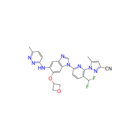 Cc1ccc(Nc2cc3ncn(-c4ccc(C(F)F)c(-n5nc(C#N)cc5C)n4)c3cc2OC2COC2)nn1